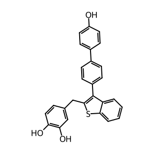 Oc1ccc(-c2ccc(-c3c(Cc4ccc(O)c(O)c4)sc4ccccc34)cc2)cc1